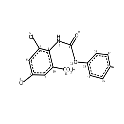 O=C(Nc1c(Cl)cc(Cl)cc1C(=O)O)Oc1ccccc1